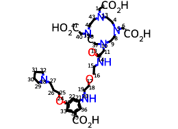 O=C(O)CN1CCN(CC(=O)O)CCN(CC(=O)NCCOCCNc2cc(OCCCN3CCCC3)cc(C(=O)O)c2)CCN(CC(=O)O)CC1